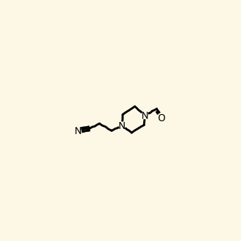 N#CCCN1CCN(C=O)CC1